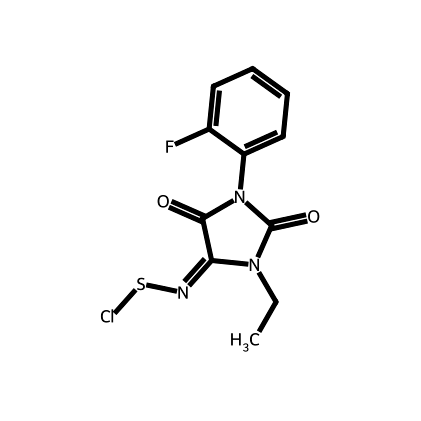 CCN1C(=O)N(c2ccccc2F)C(=O)C1=NSCl